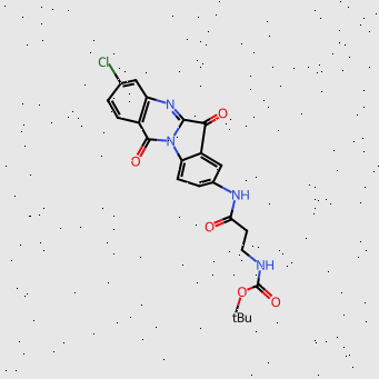 CC(C)(C)OC(=O)NCCC(=O)Nc1ccc2c(c1)C(=O)c1nc3cc(Cl)ccc3c(=O)n1-2